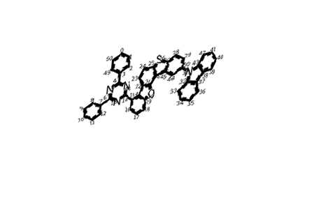 c1ccc(-c2nc(-c3ccccc3)nc(-c3cccc4oc5c(ccc6sc7ccc(-n8c9ccccc9c9ccccc98)cc7c65)c34)n2)cc1